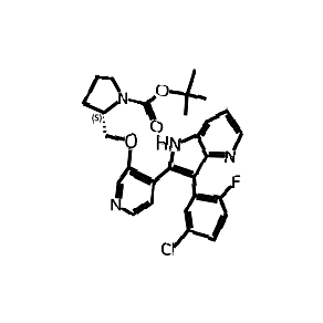 CC(C)(C)OC(=O)N1CCC[C@H]1COc1cnccc1-c1[nH]c2cccnc2c1-c1cc(Cl)ccc1F